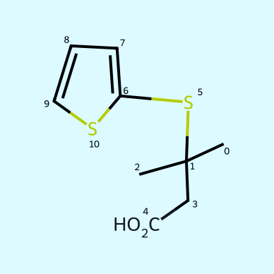 CC(C)(CC(=O)O)Sc1cccs1